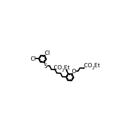 CCOC(=O)CCCOc1cccc(CCCCCCSc2cc(Cl)cc(Cl)c2)c1CC(=O)OCC